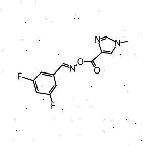 Cn1cnc(C(=O)ON=Cc2cc(F)cc(F)c2)c1